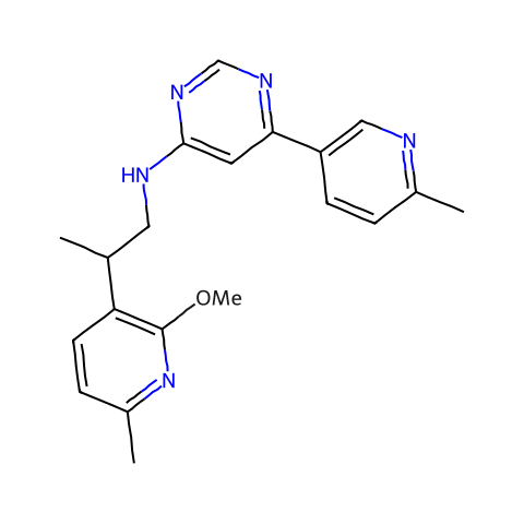 COc1nc(C)ccc1C(C)CNc1cc(-c2ccc(C)nc2)ncn1